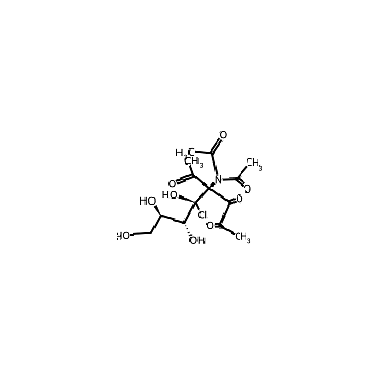 CC(=O)C(=O)[C@](C(C)=O)(N(C(C)=O)C(C)=O)[C@](O)(Cl)[C@H](O)[C@H](O)CO